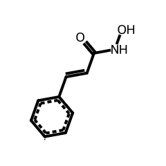 O=C(C=Cc1cc[c]cc1)NO